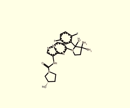 BC1(B)CCN(c2ccn3ncc(NC(=O)N4CC[C@H](O)C4)c3n2)C1(B)c1cc(F)ccc1F